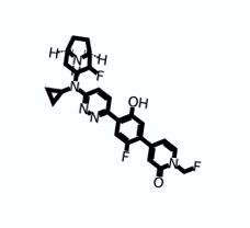 O=c1cc(-c2cc(O)c(-c3ccc(N(C4CC4)C4C[C@H]5CC[C@H](N5)C4F)nn3)cc2F)ccn1CF